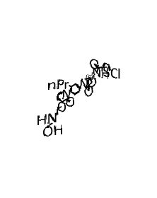 CCCc1cc(N2C[C@H](CNC(=O)c3ccc(Cl)s3)OC2=O)ccc1-n1cccc(OCCNCCO)c1=O